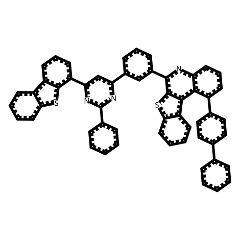 c1ccc(-c2ccc(-c3cccc4nc(-c5cccc(-c6cc(-c7cccc8c7sc7ccccc78)nc(-c7ccccc7)n6)c5)c5sc6ccccc6c5c34)cc2)cc1